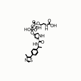 Cc1ncsc1-c1ccc(C(C)NC(=O)[C@@H]2C[C@@H](OP(=O)(O)OP(=O)(O)OCCNC(=O)O)CN2)cc1